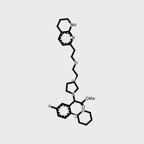 COC(=O)C(c1cc(F)ccc1[C@@H]1CCCCO1)N1CC[C@@H](CCOCCc2ccc3c(n2)NCCC3)C1